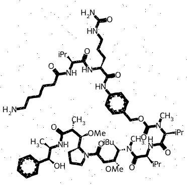 CC[C@H](C)[C@@H]([C@@H](CC(=O)N1CCC[C@H]1[C@H](OC)[C@@H](C)C(=O)N[C@H](C)[C@@H](O)c1ccccc1)OC)N(C)C(=O)[C@@H](NC(=O)[C@H](C(C)C)N(C)C(=O)OCc1ccc(NC(=O)[C@H](CCCNC(N)=O)NC(=O)[C@@H](NC(=O)CCCCCN)C(C)C)cc1)C(C)C